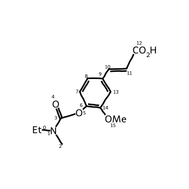 CCN(C)C(=O)Oc1ccc(C=CC(=O)O)cc1OC